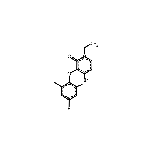 Cc1cc(F)cc(C)c1Oc1c(Br)ccn(CC(F)(F)F)c1=O